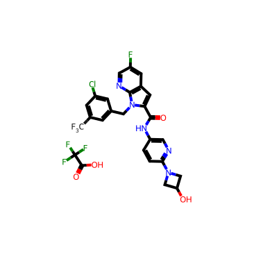 O=C(Nc1ccc(N2CC(O)C2)nc1)c1cc2cc(F)cnc2n1Cc1cc(Cl)cc(C(F)(F)F)c1.O=C(O)C(F)(F)F